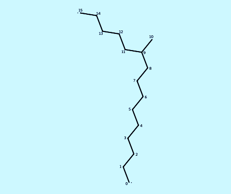 [CH2]CCCCCCCCC(C)CCCC[CH2]